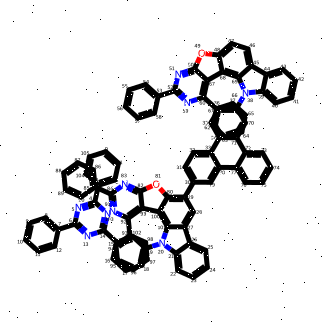 c1ccc(-c2nc(-c3ccccc3)nc(-c3cccc(-n4c5ccccc5c5cc(-c6ccc7c8ccc(-n9c%10ccccc%10c%10ccc%11oc%12nc(-c%13ccccc%13)nc(-c%13ccccc%13)c%12c%11c%109)cc8c8ccccc8c7c6)c6oc7nc(-c8ccccc8)nc(-c8ccccc8)c7c6c54)c3)n2)cc1